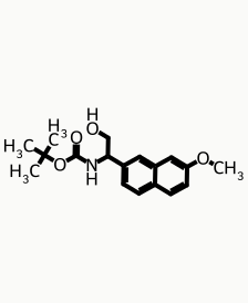 COc1ccc2ccc(C(CO)NC(=O)OC(C)(C)C)cc2c1